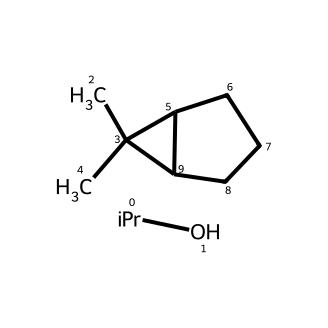 CC(C)O.CC1(C)C2CCCC21